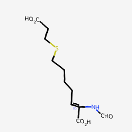 O=CN/C(=C\CCCCSCCC(=O)O)C(=O)O